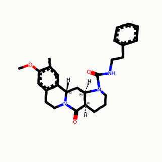 COc1cc2c(cc1C)[C@@H]1C[C@@H]3[C@@H](CCCN3C(=O)NCCc3ccccc3)C(=O)N1CC2